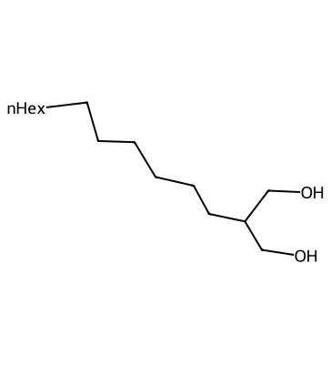 CCCCCCCCCCCCC(CO)CO